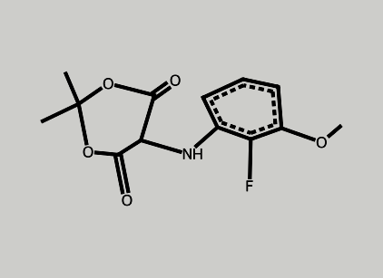 COc1cccc(NC2C(=O)OC(C)(C)OC2=O)c1F